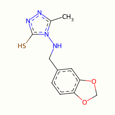 Cc1nnc(S)n1NCc1ccc2c(c1)OCO2